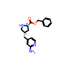 Nc1cc(C[C@@H]2CN[C@@H](C(=O)OCc3ccccc3)C2)ccn1